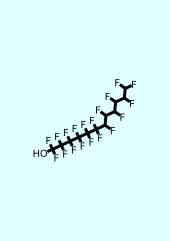 OC(F)(F)C(F)(F)C(F)(F)C(F)(F)C(F)(F)C(F)(F)C(F)C(F)C(F)C(F)C(F)C(F)F